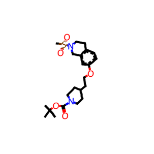 CC(C)(C)OC(=O)N1CCC(CCOc2ccc3c(c2)CN(S(C)(=O)=O)CC3)CC1